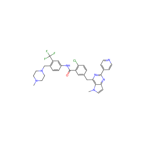 CN1CCN(Cc2ccc(NC(=O)c3cc(Cc4nc(-c5ccncc5)nc5ccn(C)c45)ccc3Cl)cc2C(F)(F)F)CC1